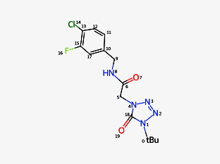 CC(C)(C)n1nnn(CC(=O)NCc2ccc(Cl)c(F)c2)c1=O